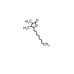 CCCCCCCCC1OC(=O)C(C)C1C